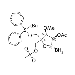 B[C@@H]1O[C@@](CO[Si](c2ccccc2)(c2ccccc2)C(C)(C)C)(COS(C)(=O)=O)[C@@H](OC)[C@H]1OC(C)=O